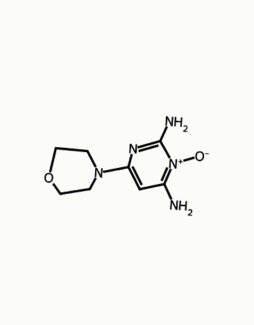 Nc1cc(N2CCOCC2)nc(N)[n+]1[O-]